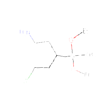 CCO[Si](C)(OCC)C(CCN)CCCl